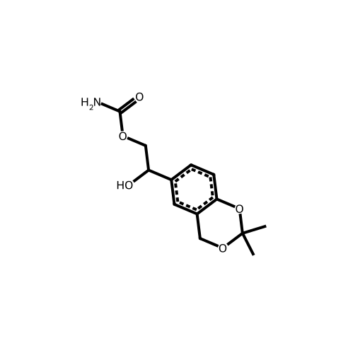 CC1(C)OCc2cc(C(O)COC(N)=O)ccc2O1